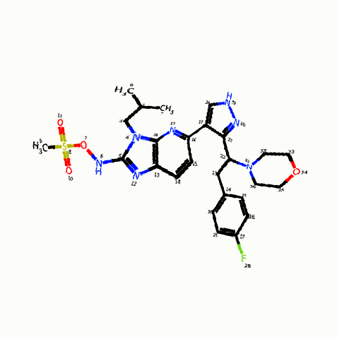 CC(C)Cn1c(NOS(C)(=O)=O)nc2ccc(-c3c[nH]nc3C(Cc3ccc(F)cc3)N3CCOCC3)nc21